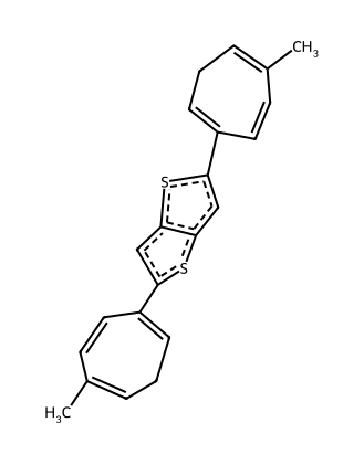 CC1=CCC=C(c2cc3sc(C4=CCC=C(C)C=C4)cc3s2)C=C1